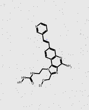 CCCNC(=O)NCCn1c(COCC)nc2c(N)nc3cc(/C=C/c4cccnc4)ccc3c21